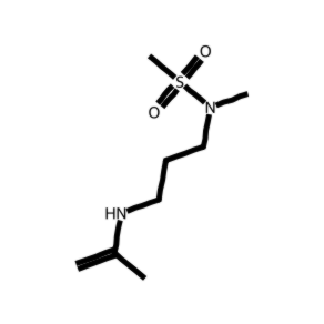 C=C(C)NCCCN(C)S(C)(=O)=O